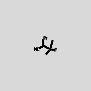 CC(C)C(C#N)S(C)(C)F